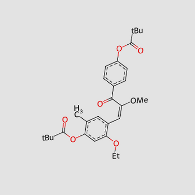 CCOc1cc(OC(=O)C(C)(C)C)c(C)cc1C=C(OC)C(=O)c1ccc(OC(=O)C(C)(C)C)cc1